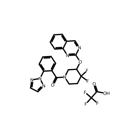 O=C(O)C(F)(F)F.O=C(c1ccccc1-n1nccn1)N1CCC(F)(F)C(Oc2ncc3ccccc3n2)C1